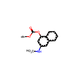 CC(C)(C)OC(=O)Oc1cc(NC(=O)O)cc2ccccc12